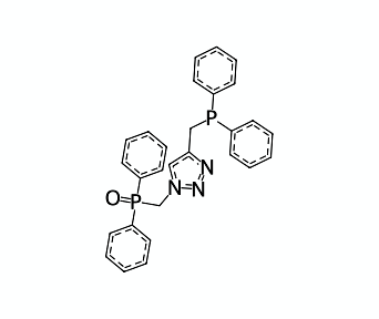 O=P(Cn1cc(CP(c2ccccc2)c2ccccc2)nn1)(c1ccccc1)c1ccccc1